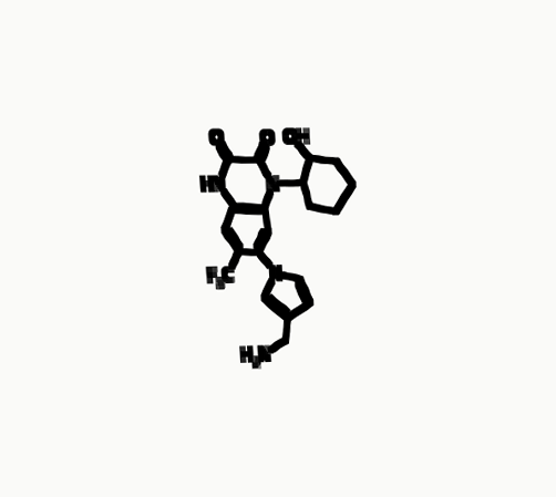 NCc1ccn(-c2cc3c(cc2C(F)(F)F)[nH]c(=O)c(=O)n3C2CCCCC2O)c1